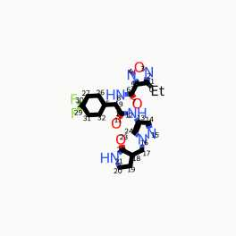 CCc1nonc1C(=O)N[C@H](C(=O)Nc1cnn(CC2CCNC2=O)c1)C1CCC(F)(F)CC1